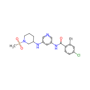 CCc1cc(Cl)ccc1C(=O)Nc1cncc(NC2CCCN(S(C)(=O)=O)C2)c1